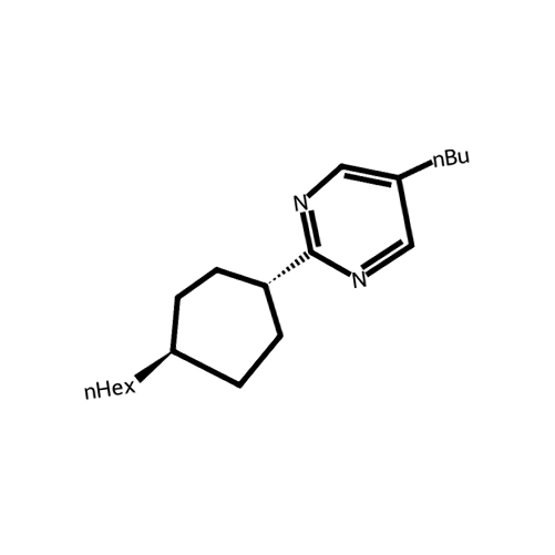 CCCCCC[C@H]1CC[C@H](c2ncc(CCCC)cn2)CC1